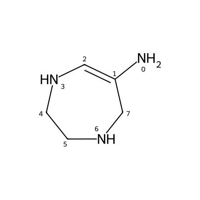 NC1=CNCCNC1